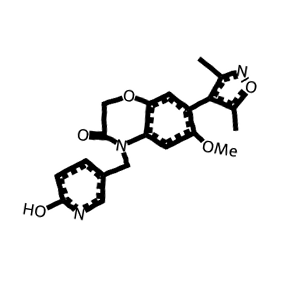 COc1cc2c(cc1-c1c(C)noc1C)OCC(=O)N2Cc1ccc(O)nc1